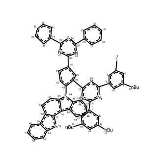 CCCCc1cc(I)cc(-c2nc(-c3cc(CCCC)cc(CCCC)c3)nc(-c3cc(-c4nc(-c5ccccc5)nc(-c5ccccc5)n4)ccc3-n3c4ccccc4c4c5sc6ccccc6c5ccc43)n2)c1